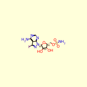 Nc1ncnc2c1c(I)nn2[C@@H]1O[C@H](COS(N)(=O)=O)[C@@H](O)[C@H]1O